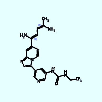 C/C(N)=C/C=C(\N)c1ccn2c(-c3cncc(NC(=O)NCC(F)(F)F)c3)cnc2c1